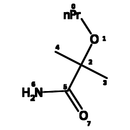 CCCOC(C)(C)C(N)=O